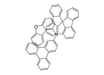 c1ccc2c(c1)-c1ccccc1C21c2ccccc2-c2cccc(N(c3ccc4c5ccccc5c5ccccc5c4c3)c3cccc4oc5ccccc5c34)c21